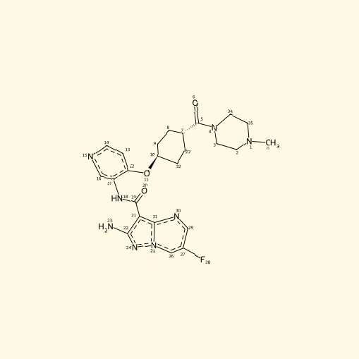 CN1CCN(C(=O)[C@H]2CC[C@H](Oc3ccncc3NC(=O)c3c(N)nn4cc(F)cnc34)CC2)CC1